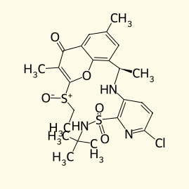 CC[S+]([O-])c1oc2c([C@@H](C)Nc3ccc(Cl)nc3S(=O)(=O)NC(C)(C)C)cc(C)cc2c(=O)c1C